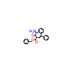 NN1C(=O)C(C(=O)OCc2ccccc2)C=C(c2ccccc2)c2ccccc21